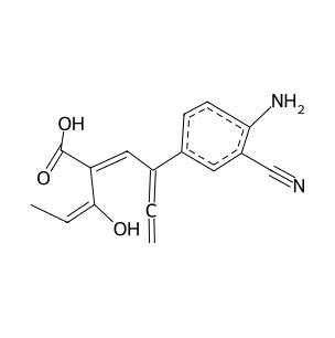 C=C=C(/C=C(C(=O)O)\C(O)=C/C)c1ccc(N)c(C#N)c1